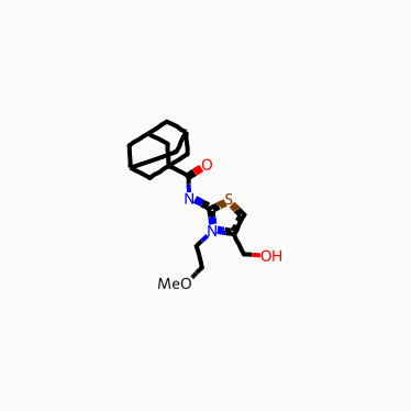 COCCn1c(CO)cs/c1=N\C(=O)C12CC3CC(CC(C3)C1)C2